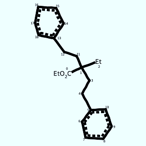 CCOC(=O)C(CC)(CCc1ccccc1)CCc1ccccc1